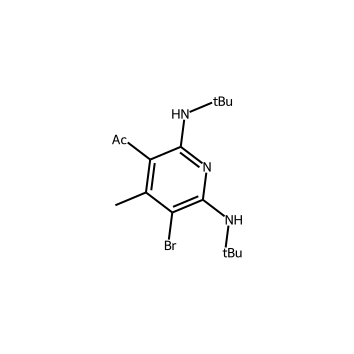 CC(=O)c1c(NC(C)(C)C)nc(NC(C)(C)C)c(Br)c1C